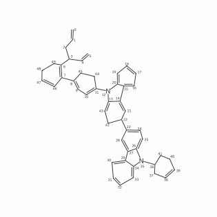 C=CCC(C=C)C1=C(C2=CC=C(n3c4c(c5ccccc53)=CC(c3ccc5c(c3)c3ccccc3n5C3CC=CCC3)CC=4)CC2)C=CCC1